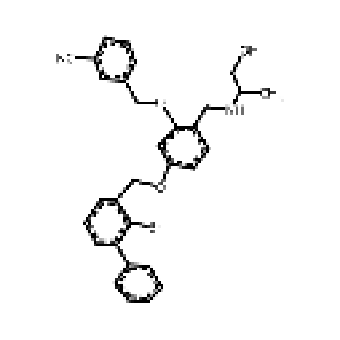 CC(CO)NCc1ccc(OCc2cccc(-c3ccccc3)c2Br)cc1OCc1cccc(C#N)c1